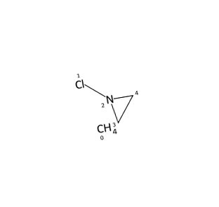 C.ClN1CC1